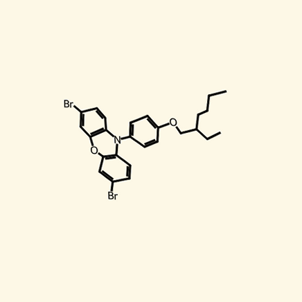 CCCCC(CC)COc1ccc(N2c3ccc(Br)cc3Oc3cc(Br)ccc32)cc1